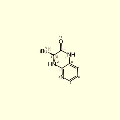 CC[C@H](C)[C@@H]1Nc2ncccc2NC1=O